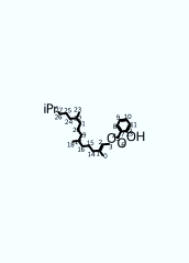 C/C(=C\COC(=O)c1ccccc1O)CCCC(C)CCCC(C)CCCC(C)C